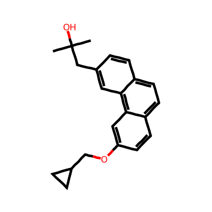 CC(C)(O)Cc1ccc2ccc3ccc(OCC4CC4)cc3c2c1